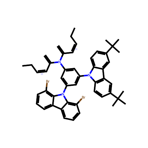 C=C(/C=C\CC)N(C(=C)/C=C\CC)c1cc(-n2c3ccc(C(C)(C)C)cc3c3cc(C(C)(C)C)ccc32)cc(-n2c3c(Br)cccc3c3cccc(Br)c32)c1